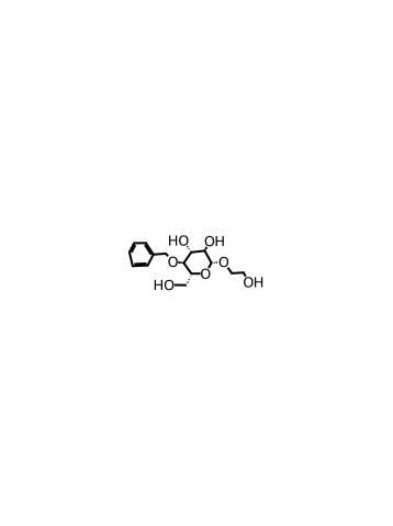 OCCO[C@@H]1O[C@H](CO)[C@@H](OCc2ccccc2)[C@H](O)[C@H]1O